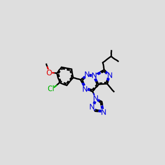 COc1ccc(-c2nc(-n3cncn3)c3c(C)nc(CC(C)C)n3n2)cc1Cl